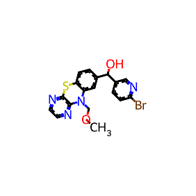 COCN1c2cc(C(O)c3ccc(Br)nc3)ccc2Sc2nccnc21